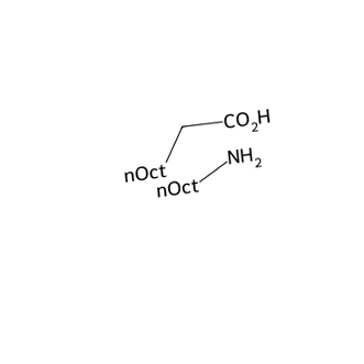 CCCCCCCCCC(=O)O.CCCCCCCCN